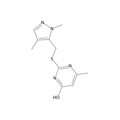 Cc1cc(O)nc(SCc2c(C)cnn2C)n1